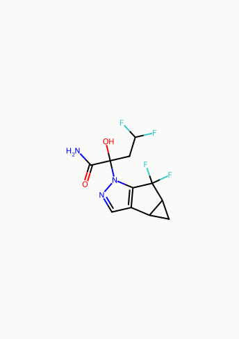 NC(=O)C(O)(CC(F)F)n1ncc2c1C(F)(F)C1CC21